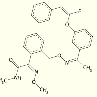 CNC(=O)C(=NOC)c1ccccc1CON=C(C)c1cccc(O/C(F)=C\c2ccccc2)c1